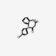 O=C1CC(=S)Nc2ccccc2N1c1ccc(Cl)cc1